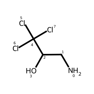 NCC(O)C(Cl)(Cl)Cl